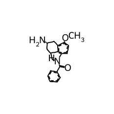 COc1ccc2c3c1C[C@H](N)C[C@H]3CN2C(=O)c1ccccc1